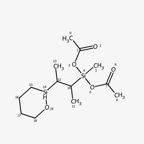 CC(=O)O[Si](C)(OC(C)=O)C(C)C(C)[SiH]1CCCCO1